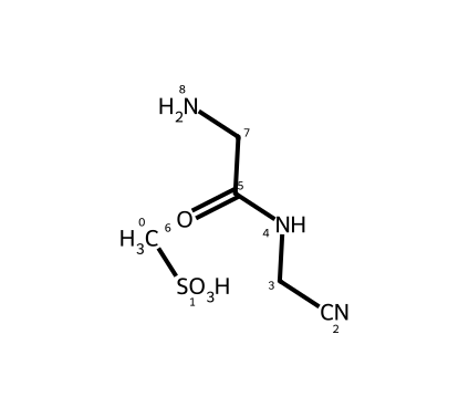 CS(=O)(=O)O.N#CCNC(=O)CN